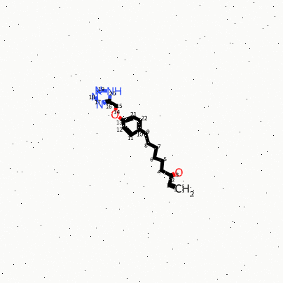 C=CC(=O)CCCCCCc1ccc(OCc2nnn[nH]2)cc1